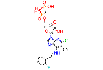 N#Cc1c(Cl)nc2c(ncn2[C@@H]2O[C@H](COP(=O)(O)CP(=O)(O)O)[C@@H](O)[C@H]2O)c1NCCc1ccccc1F